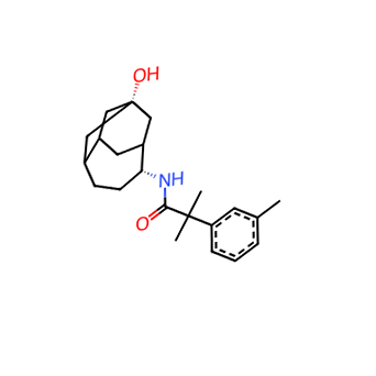 Cc1cccc(C(C)(C)C(=O)N[C@@H]2CCC3C[C@@]4(O)CC3CC2C4)c1